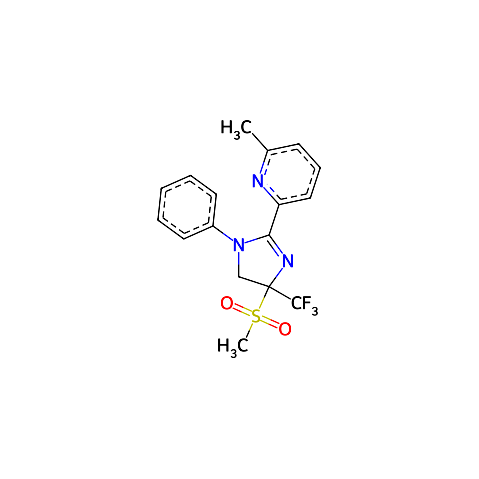 Cc1cccc(C2=NC(C(F)(F)F)(S(C)(=O)=O)CN2c2ccccc2)n1